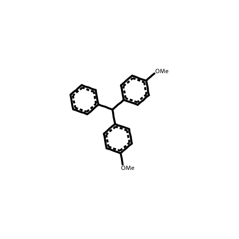 COc1ccc([C](c2ccccc2)c2ccc(OC)cc2)cc1